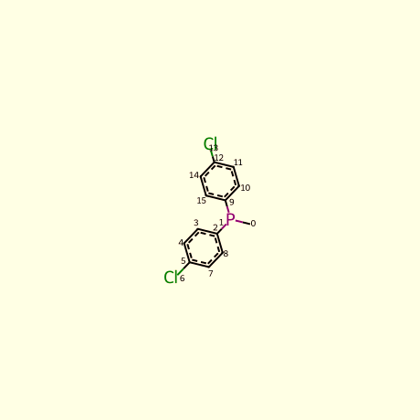 CP(c1ccc(Cl)cc1)c1ccc(Cl)cc1